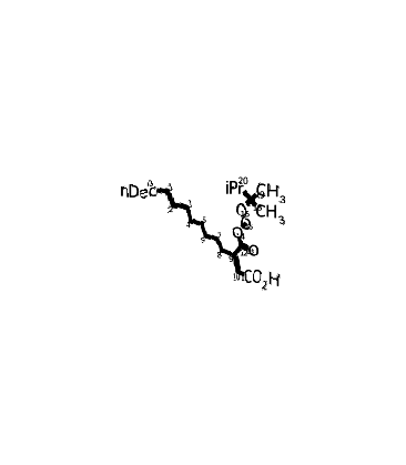 CCCCCCCCCCCCCCCCCCC(=CC(=O)O)C(=O)OOOC(C)(C)C(C)C